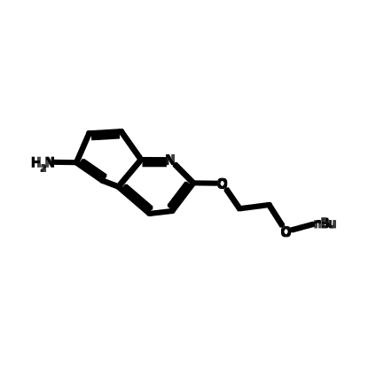 CCCCOCCOc1ccc2cc(N)ccc2n1